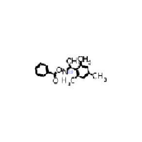 C/C(=N\OC(=O)c1ccccc1)c1c(C)cc(C)cc1C